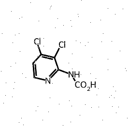 O=C(O)Nc1nccc(Cl)c1Cl